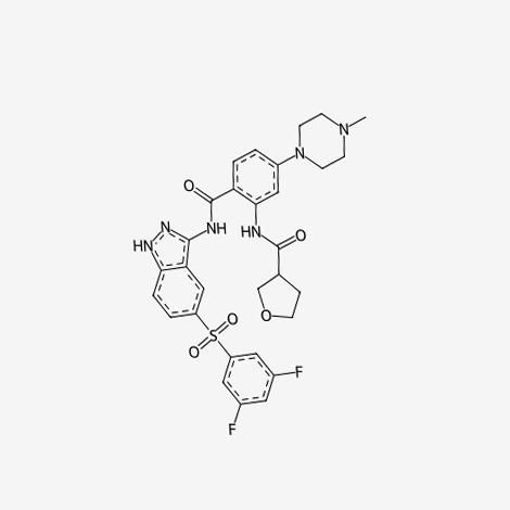 CN1CCN(c2ccc(C(=O)Nc3n[nH]c4ccc(S(=O)(=O)c5cc(F)cc(F)c5)cc34)c(NC(=O)C3CCOC3)c2)CC1